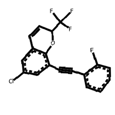 Fc1ccccc1C#Cc1cc(Cl)cc2c1OC(C(F)(F)F)C=C2